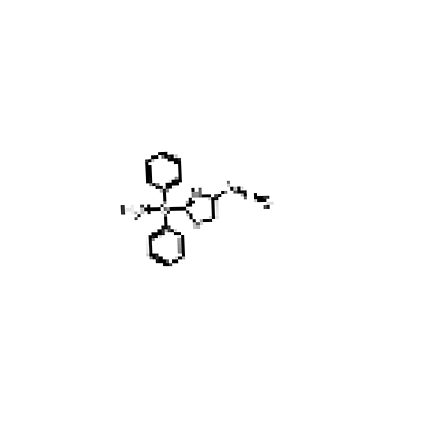 NS(c1ccccc1)(c1ccccc1)c1nc(N=C=S)cs1